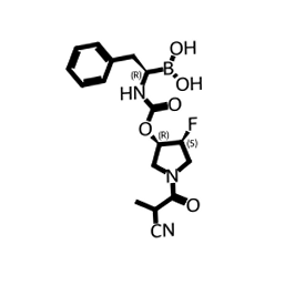 CC(C#N)C(=O)N1C[C@H](F)[C@H](OC(=O)N[C@@H](Cc2ccccc2)B(O)O)C1